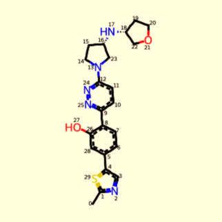 Cc1ncc(-c2ccc(-c3ccc(N4CC[C@H](N[C@@H]5CCOC5)C4)nn3)c(O)c2)s1